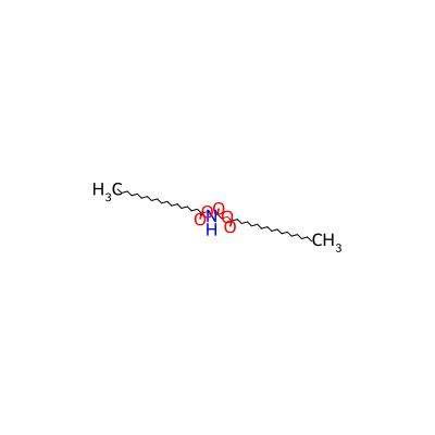 CCCCCCCCCCCCCCCCCC(=O)OCC(=O)NOC(=O)CCCCCCCCCCCCCCCCC